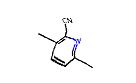 Cc1ccc(C)c(C#N)n1